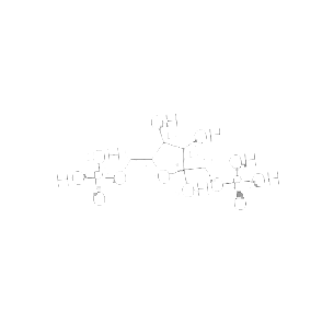 O=P(O)(O)OCC1OC(O)(COP(=O)(O)O)C(O)C1O